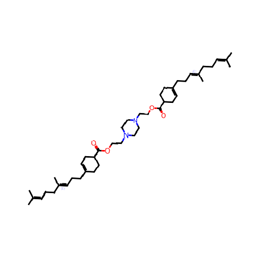 CC(C)=CCC/C(C)=C/CCC1=CCC(C(=O)OCCN2CCN(CCOC(=O)C3CC=C(CC/C=C(\C)CCC=C(C)C)CC3)CC2)CC1